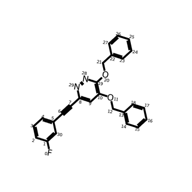 Fc1cccc(C#Cc2cc(OCc3ccccc3)c(OCc3ccccc3)nn2)c1